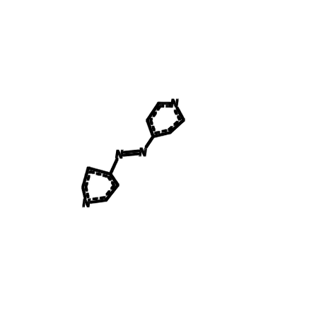 c1cc(/N=N/c2ccncc2)ccn1